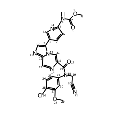 COC(=O)Nc1ccc(-c2cnc3cnc(C(=O)N(CC#N)c4ccc(Cl)c(OC)c4)cn23)cn1